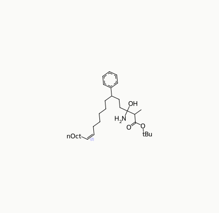 CCCCCCCC/C=C\CCCCCC(CCC(N)(O)C(C)C(=O)OC(C)(C)C)c1ccccc1